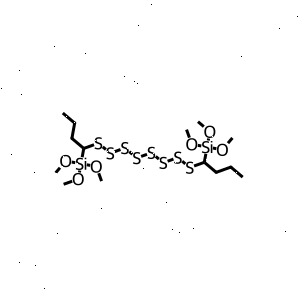 CCCC(SSSSSSSSC(CCC)[Si](OC)(OC)OC)[Si](OC)(OC)OC